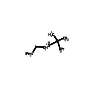 CCCC(C)(C)O.CCCC(C)CO